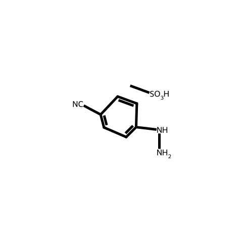 CS(=O)(=O)O.N#Cc1ccc(NN)cc1